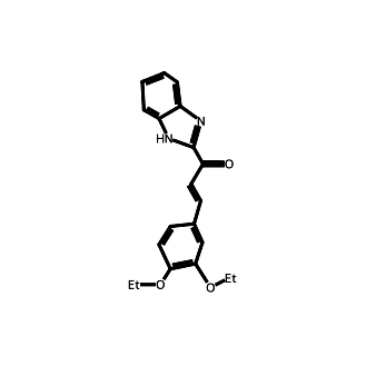 CCOc1ccc(C=CC(=O)c2nc3ccccc3[nH]2)cc1OCC